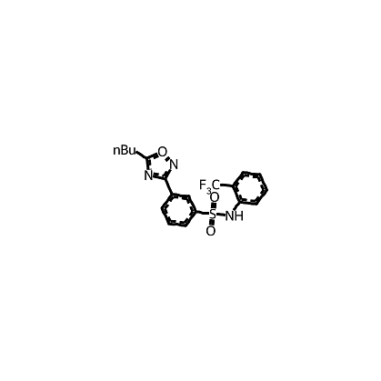 CCCCc1nc(-c2cccc(S(=O)(=O)Nc3ccccc3C(F)(F)F)c2)no1